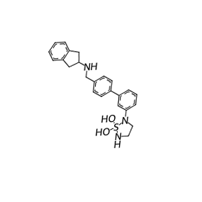 OS1(O)NCCN1c1cccc(-c2ccc(CNC3Cc4ccccc4C3)cc2)c1